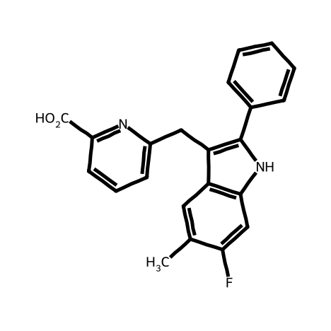 Cc1cc2c(Cc3cccc(C(=O)O)n3)c(-c3ccccc3)[nH]c2cc1F